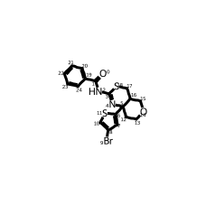 O=C(NC1=NC2(c3cc(Br)cs3)CCOCC2CS1)c1ccccc1